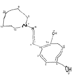 Oc1ccc(C=NN2CCCCC2)c(O)c1